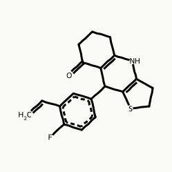 C=Cc1cc(C2C3=C(CCS3)NC3=C2C(=O)CCC3)ccc1F